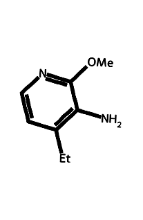 CCc1ccnc(OC)c1N